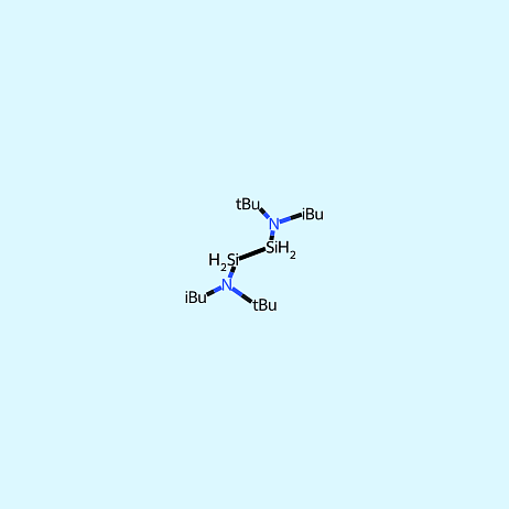 CCC(C)N([SiH2][SiH2]N(C(C)CC)C(C)(C)C)C(C)(C)C